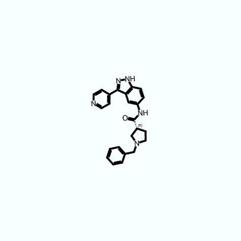 O=C(Nc1ccc2[nH]nc(-c3ccncc3)c2c1)[C@@H]1CCN(Cc2ccccc2)C1